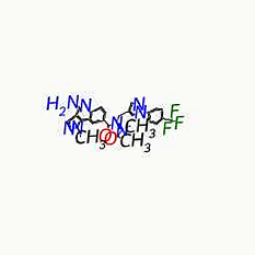 CC(=O)N(C)N(Cc1cnn(-c2ccc(C(F)(F)F)cc2)c1)C(=O)c1ccc2nc(N)c3cnn(C)c3c2c1